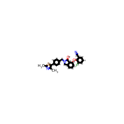 Cc1nc(C)c(-c2ccc(CN3Cc4cccc(Oc5c(F)cccc5C#N)c4C3=O)cc2)s1